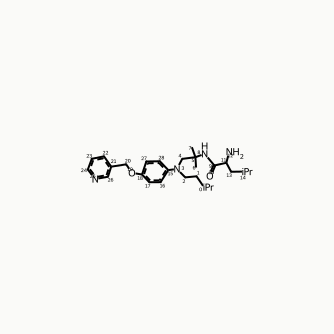 CC(C)CCN(CC(C)(C)NC(=O)C(N)CC(C)C)c1ccc(OCc2cccnc2)cc1